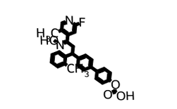 Cc1cnc(F)cc1C(CC(c1ccc(-c2ccc(OC(=O)O)cc2)cc1)c1ccccc1C)=NO